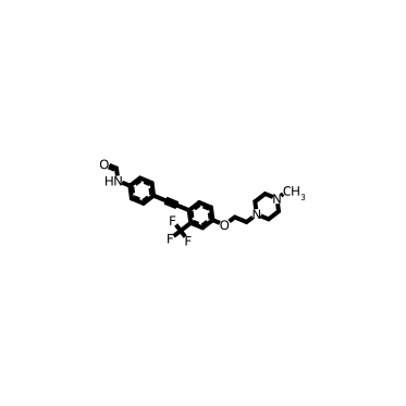 CN1CCN(CCOc2ccc(C#Cc3ccc(NC=O)cc3)c(C(F)(F)F)c2)CC1